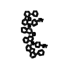 CC(C)c1ccc(N(c2cccc3c2Cc2c(-c4ccccc4)cccc2-3)c2cc3oc4cc(N(c5ccc(C(C)C)cc5)c5cccc6c5oc5c(-c7ccccc7)cccc56)c5ccccc5c4c3c3ccccc23)cc1